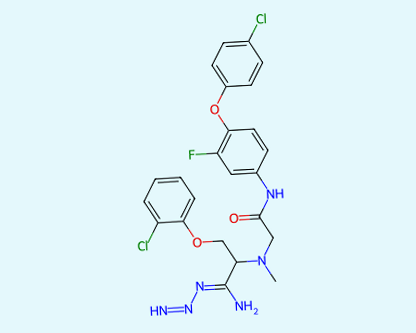 CN(CC(=O)Nc1ccc(Oc2ccc(Cl)cc2)c(F)c1)C(COc1ccccc1Cl)/C(N)=N/N=N